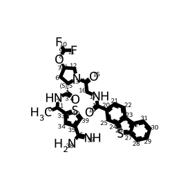 CC(NC(=O)[C@@H]1C[C@@H](OC(F)F)CN1C(=O)CNC(=O)c1ccc2c(c1)sc1ccccc12)c1cc(C(=N)N)cs1